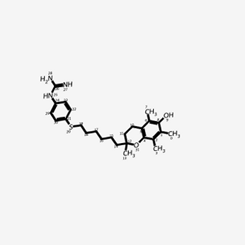 Cc1c(C)c2c(c(C)c1O)CCC(C)(CCCCCCSc1ccc(NC(=N)N)cc1)O2